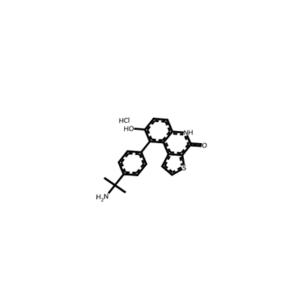 CC(C)(N)c1ccc(-c2c(O)ccc3[nH]c(=O)c4sccc4c23)cc1.Cl